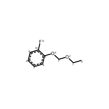 CCOCOc1ccc[c]c1F